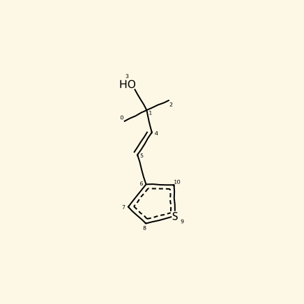 CC(C)(O)C=Cc1ccsc1